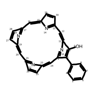 OC1=C(c2ccccc2)C2=NC1=CC1=NC(=CC3=NC(=CC4=NC(=C2)C=C4)C=C3)C=C1